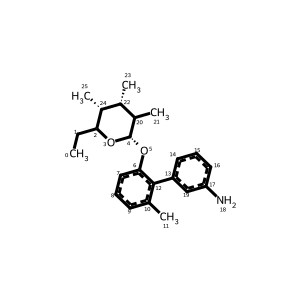 CCC1O[C@@H](Oc2cccc(C)c2-c2cccc(N)c2)C(C)[C@@H](C)[C@H]1C